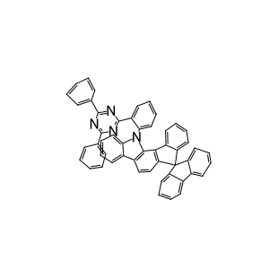 c1ccc(-c2nc(-c3ccccc3)nc(-c3ccccc3-n3c4ccccc4c4ccc5c(c43)-c3ccccc3C53c4ccccc4-c4ccccc43)n2)cc1